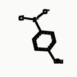 CC(C)(C)c1ccc([S+]([O-])Cl)cc1